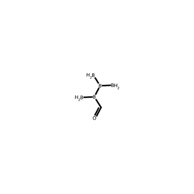 BB(B)B(B)C=O